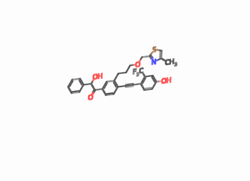 Cc1csc(COCCCc2cc(C(=O)C(O)c3ccccc3)ccc2C#Cc2ccc(O)cc2C(F)(F)F)n1